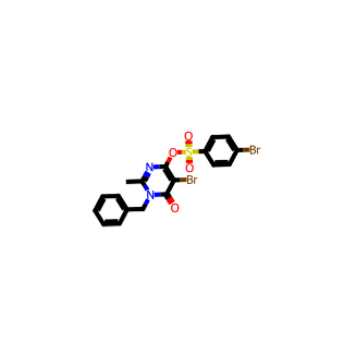 Cc1nc(OS(=O)(=O)c2ccc(Br)cc2)c(Br)c(=O)n1Cc1ccccc1